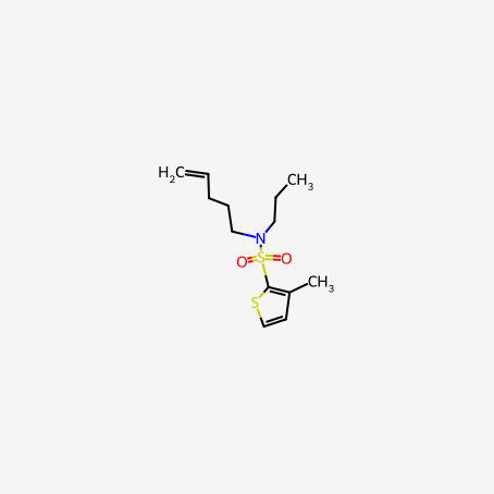 C=CCCCN(CCC)S(=O)(=O)c1sccc1C